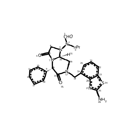 CCCN(C=O)N1CC(=O)N2[C@@H](c3ccccc3)C(=O)N(Cc3cccc4sc(N)nc34)C[C@@H]21